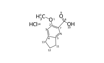 COc1cc2c(cc1C(=O)O)CCC2.Cl